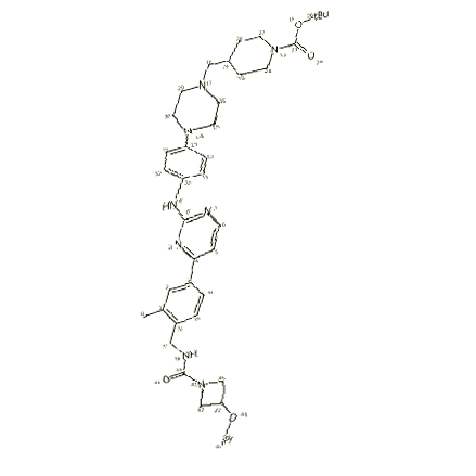 Cc1cc(-c2ccnc(Nc3ccc(N4CCN(CC5CCN(C(=O)OC(C)(C)C)CC5)CC4)cc3)n2)ccc1CNC(=O)N1CC(OC(C)C)C1